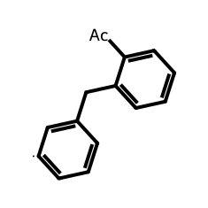 CC(=O)c1ccccc1Cc1c[c]ccc1